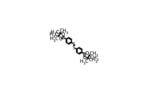 CC1(C)OB(c2ccc(SSc3ccc(B4OC(C)(C)C(C)(C)O4)cc3)cc2)OC1(C)C